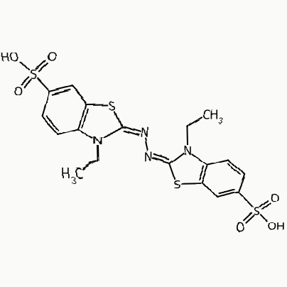 CCn1/c(=N\N=c2\sc3cc(S(=O)(=O)O)ccc3n2CC)sc2cc(S(=O)(=O)O)ccc21